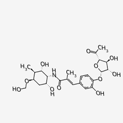 CC(=O)[C@H]1O[C@@H](Oc2ccc(/C=C(\C)C(=O)N[C@H]3[C@@H](O)[C@H](C)[C@H](OCO)C[C@H]3O)cc2O)[C@@H](O)[C@@H]1O